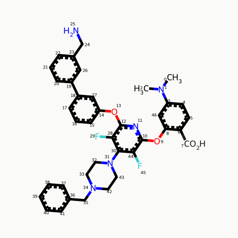 CN(C)c1ccc(C(=O)O)c(Oc2nc(Oc3cccc(-c4cccc(CN)c4)c3)c(F)c(N3CCN(Cc4ccccc4)CC3)c2F)c1